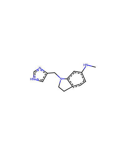 CNc1ccc2c(c1)N(Cc1c[nH]cn1)CC2